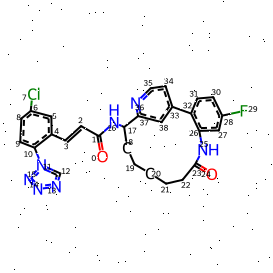 O=C(/C=C/c1cc(Cl)ccc1-n1cnnn1)NC1CCCCCC(=O)Nc2cc(F)ccc2-c2ccnc1c2